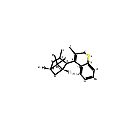 CC1=C(C2C(C)C[C@H]3C[C@@H]2C3(C)C)c2ccccc2SC1